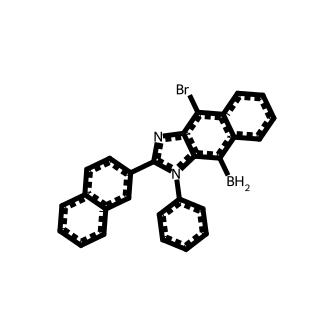 Bc1c2ccccc2c(Br)c2nc(-c3ccc4ccccc4c3)n(-c3ccccc3)c12